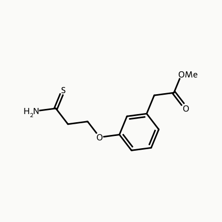 COC(=O)Cc1cccc(OCCC(N)=S)c1